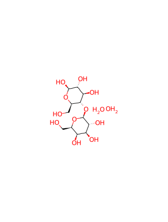 O.O.OC[C@H]1O[C@@H](O[C@H]2[C@H](O)[C@@H](O)[C@H](O)O[C@@H]2CO)[C@H](O)[C@@H](O)[C@H]1O